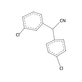 N#CC(c1ccc(Cl)cc1)c1cccc(Cl)c1